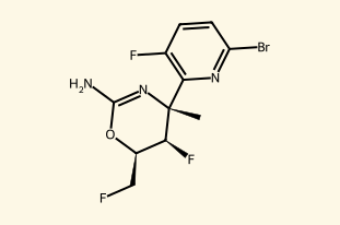 C[C@]1(c2nc(Br)ccc2F)N=C(N)O[C@H](CF)[C@@H]1F